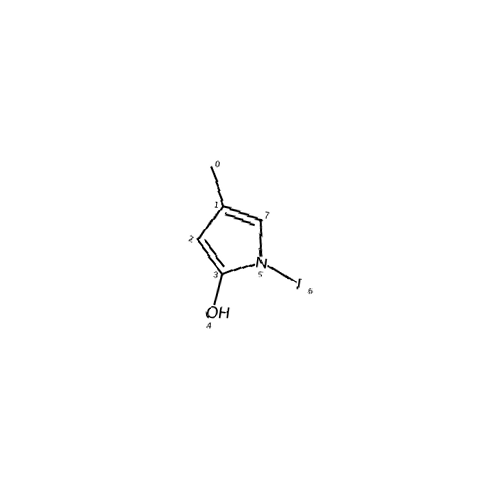 Cc1cc(O)n(I)c1